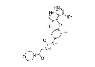 CC(C)c1c[nH]c2nccc(Oc3c(F)cc(NC(=O)NCC(=O)N4CCOCC4)cc3F)c12